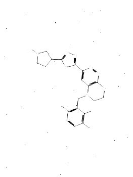 CN1CCC(c2nnc(-c3cc4c(nn3)NCCN4Cc3c(Cl)ccc(F)c3Cl)[nH]2)C1